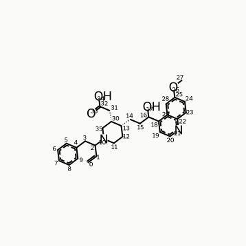 C=CC(Cc1ccccc1)N1CC[C@@H](CCC(O)c2ccnc3ccc(OC)cc23)[C@@H](CC(=O)O)C1